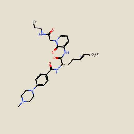 CCOC(=O)/C=C/CC[C@H](NC(=O)c1ccc(N2CCN(C)CC2)cc1)C(=O)Nc1cccn(CC(=O)NCCC(C)C)c1=O